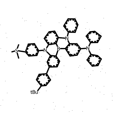 CC(C)(C)c1ccc(-c2ccc3c(c2)N(c2ccc(S(C)(C)C)cc2)c2cccc4c2B3c2ccc(N(c3ccccc3)c3ccccc3)cc2N4c2ccccc2)cc1